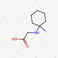 CC1(NCC(=O)O)CCCCC1